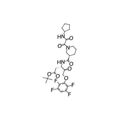 CC(C)(C)OC(=O)C[C@H](NC(=O)[C@@H]1CCCN(C(=O)C(=O)NC2CCCC2)C1)C(=O)COc1c(F)c(F)cc(F)c1F